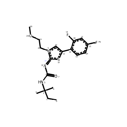 CCC(C)(C)NC(=O)/N=c1\sc(-c2ccc(F)cc2F)cn1CCOC